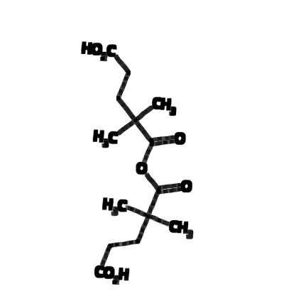 CC(C)(CCC(=O)O)C(=O)OC(=O)C(C)(C)CCC(=O)O